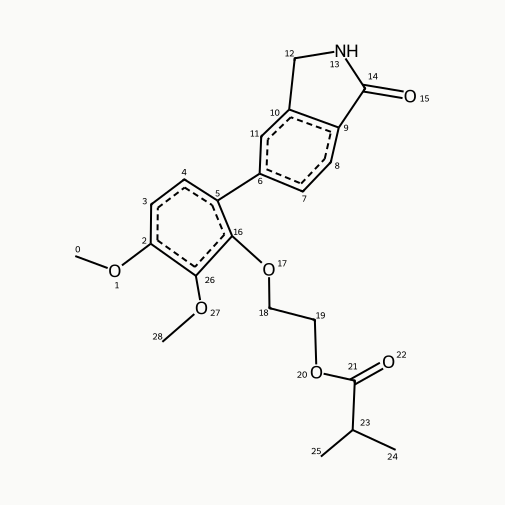 COc1ccc(-c2ccc3c(c2)CNC3=O)c(OCCOC(=O)C(C)C)c1OC